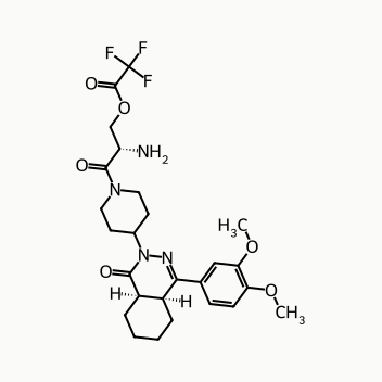 COc1ccc(C2=NN(C3CCN(C(=O)[C@@H](N)COC(=O)C(F)(F)F)CC3)C(=O)[C@@H]3CCCC[C@H]23)cc1OC